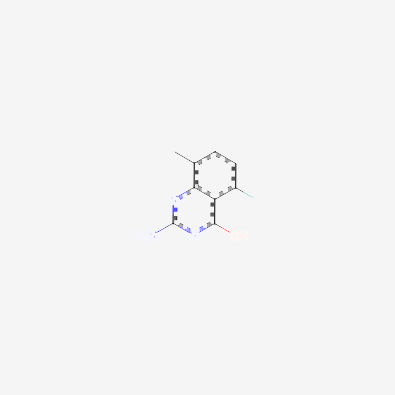 Cc1ccc(F)c2c(O)nc(N)nc12